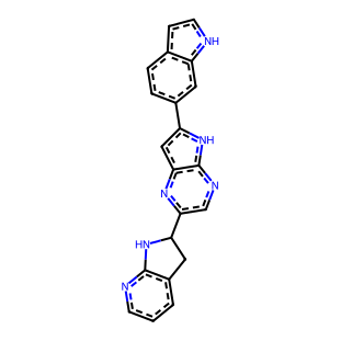 c1cnc2c(c1)CC(c1cnc3[nH]c(-c4ccc5cc[nH]c5c4)cc3n1)N2